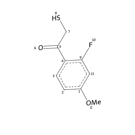 COc1ccc(C(=O)CS)c(F)c1